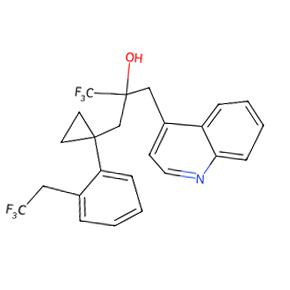 OC(Cc1ccnc2ccccc12)(CC1(c2ccccc2CC(F)(F)F)CC1)C(F)(F)F